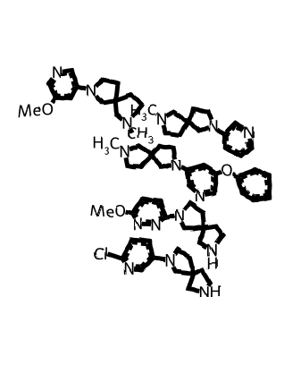 CN1CCC2(CCN(c3cccnc3)C2)C1.CN1CCC2(CCN(c3cncc(Oc4ccccc4)c3)C2)C1.COc1ccc(N2CCC3(CCNC3)C2)nn1.COc1cncc(N2CCC3(CCN(C)C3)C2)c1.Clc1ccc(N2CCC3(CCNC3)C2)cn1